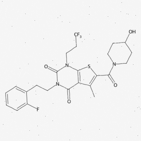 Cc1c(C(=O)N2CCC(O)CC2)sc2c1c(=O)n(CCc1ccccc1F)c(=O)n2CCC(F)(F)F